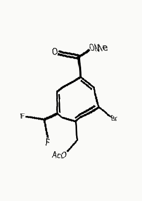 COC(=O)c1cc(Br)c(COC(C)=O)c(C(F)F)c1